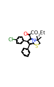 CCOC(=O)C(=O)c1c(-c2ccc(Cl)cc2)c(-c2ccccc2)c2n1C(C)(C)CS2